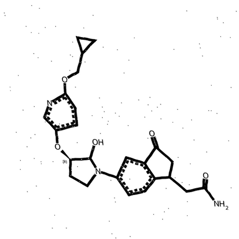 NC(=O)CC1CC(=O)c2cc(N3CC[C@@H](Oc4ccc(OCC5CC5)nc4)C3O)ccc21